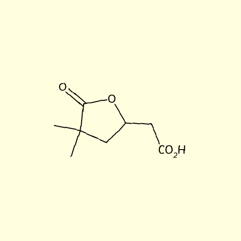 CC1(C)CC(CC(=O)O)OC1=O